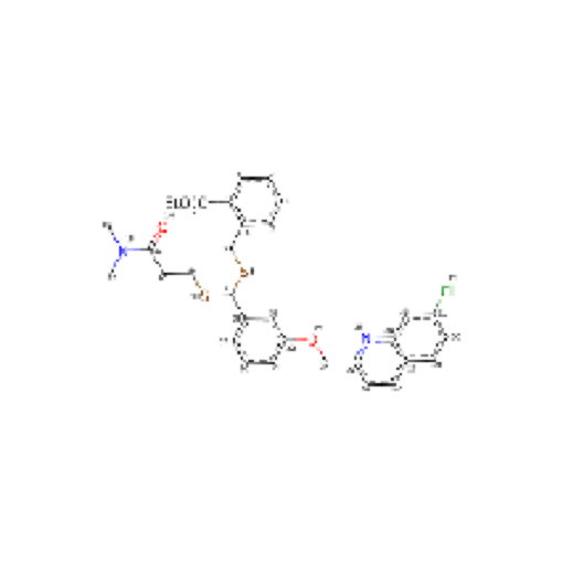 CCOC(=O)c1ccccc1CSC(SCCC(=O)N(C)C)c1cccc(OCc2ccc3ccc(Cl)cc3n2)c1